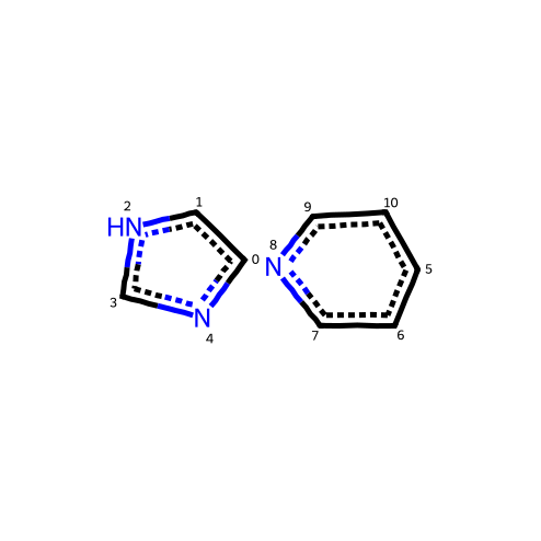 c1c[nH]cn1.c1ccncc1